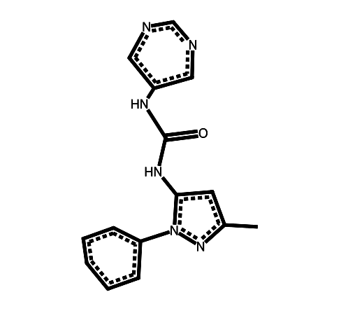 Cc1cc(NC(=O)Nc2cncnc2)n(-c2ccccc2)n1